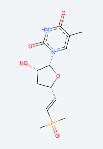 Cc1cn([C@@H]2O[C@H](/C=C/P(C)(C)=O)C[C@@H]2O)c(=O)[nH]c1=O